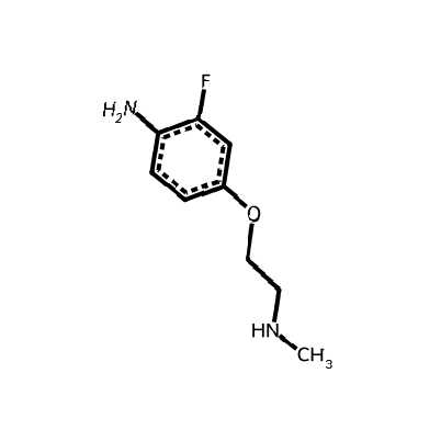 CNCCOc1ccc(N)c(F)c1